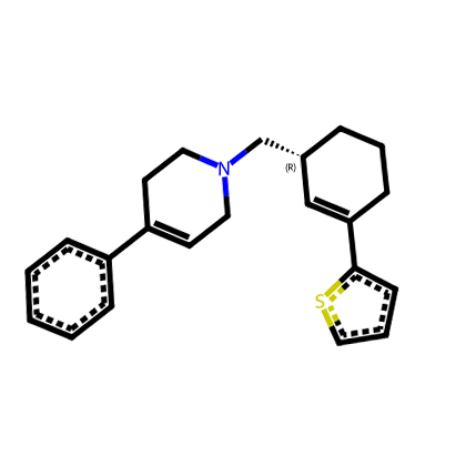 C1=C(c2ccccc2)CCN(C[C@H]2C=C(c3cccs3)CCC2)C1